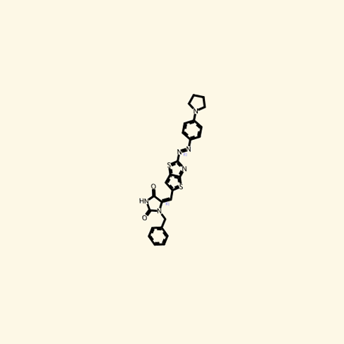 O=C1NC(=O)N(Cc2ccccc2)/C1=C/c1cc2sc(/N=N/c3ccc(N4CCCC4)cc3)nc2s1